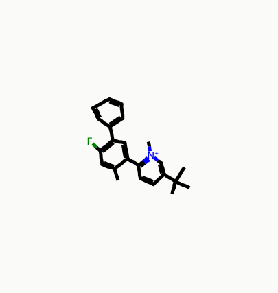 Cc1cc(F)c(-c2ccccc2)cc1-c1ccc(C(C)(C)C)c[n+]1C